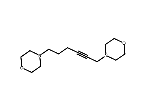 C(#CCN1CCOCC1)CCCN1CCOCC1